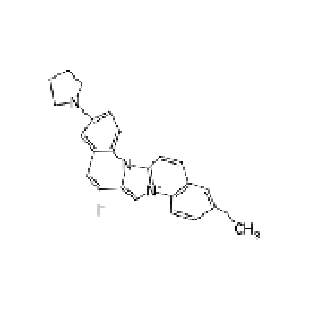 CCc1ccc2c(ccc3n4c(ccc5cc(N6CCCC6)ccc54)c[n+]23)c1.[I-]